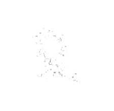 C/C=C/C(O)C(C)/C=C/C(=N/OCC(=O)O)C(C)C(O)C(C)C1OC(=O)/C(OC)=C/C(C)=C/C(C)C(O)C(CC)C(O)C(C)C/C(C)=C/C=C/C1OC